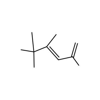 C=C(C)/C=C(\C)C(C)(C)C